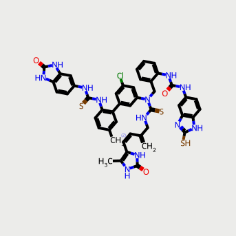 C=C(/C=C\c1[nH]c(=O)[nH]c1C)CNC(=S)N(Cc1ccccc1NC(=O)Nc1ccc2[nH]c(S)nc2c1)c1cc(Cl)cc(-c2cc(C)ccc2NC(=S)Nc2ccc3[nH]c(=O)[nH]c3c2)c1